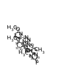 COc1cccc(-c2nnc(NSC(C)C(OC)c3ncc(F)cn3)n2-c2c(OC)cccc2OC)n1